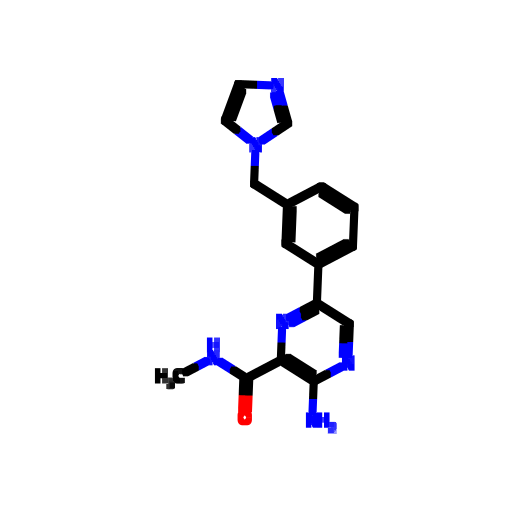 CNC(=O)c1nc(-c2cccc(Cn3ccnc3)c2)cnc1N